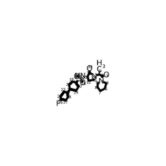 C[C@@H](C(=O)N1CCCCC1)N1CC[C@H](NS(=O)(=O)c2ccc(-c3ccc(F)cc3)cc2)C1=O